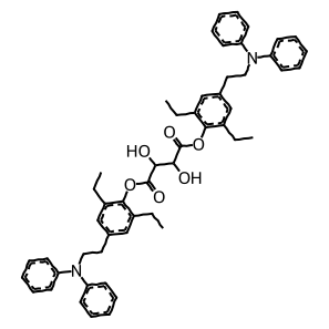 CCc1cc(CCN(c2ccccc2)c2ccccc2)cc(CC)c1OC(=O)C(O)C(O)C(=O)Oc1c(CC)cc(CCN(c2ccccc2)c2ccccc2)cc1CC